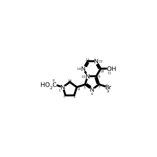 O=C(O)N1CCC(c2nc(Br)c3c(O)ncnn23)C1